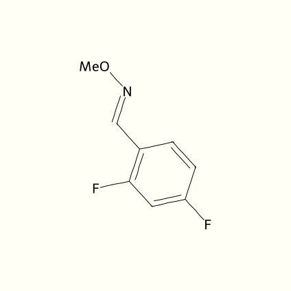 CO/N=C/c1ccc(F)cc1F